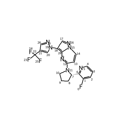 Fc1cccnc1[C@@H]1CCCN1c1ccn2ncc(-n3cc(C(F)(F)F)cn3)c2n1